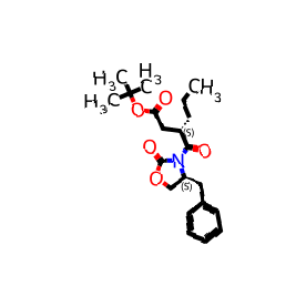 CCC[C@@H](CC(=O)OC(C)(C)C)C(=O)N1C(=O)OC[C@@H]1Cc1ccccc1